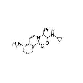 CC(C)C(C(=O)NC1CC1)n1ccc2c(N)cccc2c1=O